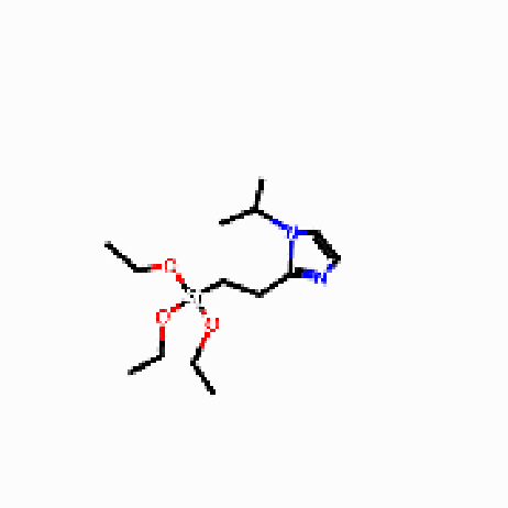 CCO[Si](CCc1nccn1C(C)C)(OCC)OCC